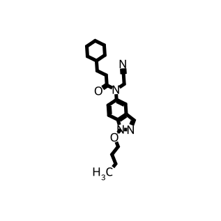 CCCCOn1ncc2cc(N(CC#N)C(=O)CCC3CCCCC3)ccc21